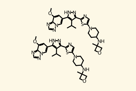 COc1cc(-c2[nH]nc(-c3ncc(N4CCC(NC5(C)COC5)CC4)s3)c2C(C)C)cn2ncnc12.COc1cc(-c2[nH]nc(-c3ncc(N4CCC(NC5(C)COC5)CC4)s3)c2C(C)C)cn2ncnc12